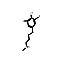 CNCCCCc1cc(C)c(Cl)c(F)c1